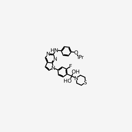 CC(C)Oc1ccc(Nc2ncc3ccn(-c4ccc(C(O)(O)N5CCSCC5)c(F)c4)c3n2)cc1